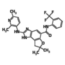 Cc1ccc(Nc2nc3cc(C(=O)Nc4ccccc4C(F)(F)F)c4c(c3[nH]2)CC(C)(C)O4)c(C)n1